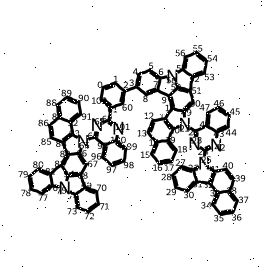 c1cc(-c2ccc3c(c2)c2c4c5ccc6ccccc6c5n(-c5nc(-n6c7ccccc7c7c8ccccc8ccc76)nc6ccccc56)c4cc4c5ccccc5n3c42)cc(-c2nc(-n3c4cc5c6ccccc6n6c7ccccc7c(c4c4ccc7ccccc7c43)c56)c3ccccc3n2)c1